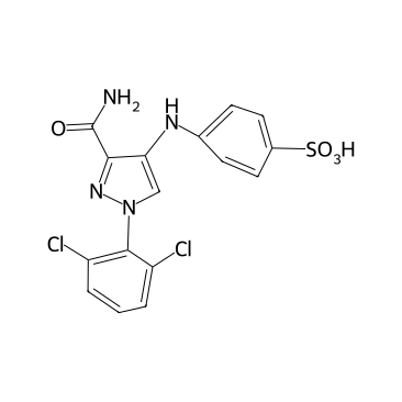 NC(=O)c1nn(-c2c(Cl)cccc2Cl)cc1Nc1ccc(S(=O)(=O)O)cc1